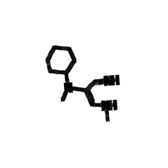 CN/C=C(\C=N)N(C)C1CCCCC1